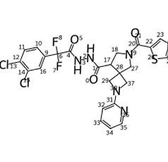 O=C(NNC(=O)C(F)(F)c1ccc(Cl)c(Cl)c1)C1CN(C(=O)c2cncs2)CC12CN(c1ccccn1)C2